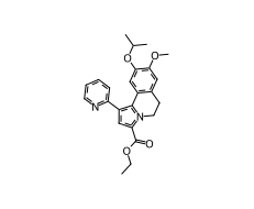 CCOC(=O)c1cc(-c2ccccn2)c2n1CCc1cc(OC)c(OC(C)C)cc1-2